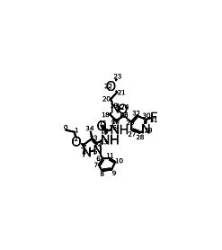 CCOc1nn(-c2ccccc2)c(NC(=O)N[C@@H]2CN(CCOC)O[C@H]2c2ccnc(F)c2)c1C